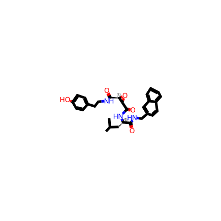 CC(C)C[C@H](NC(=O)C1O[C@@H]1C(=O)NCCc1ccc(O)cc1)C(=O)NCc1ccc2ccccc2c1